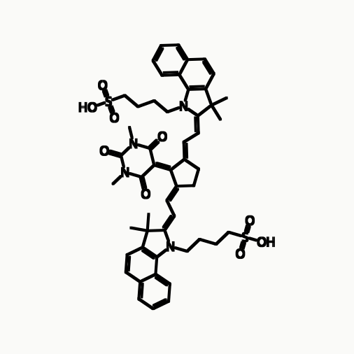 CN1C(=O)C(=C2C(=CC=C3N(CCCCS(=O)(=O)O)c4c(ccc5ccccc45)C3(C)C)CCC2=CC=C2N(CCCCS(=O)(=O)O)c3c(ccc4ccccc34)C2(C)C)C(=O)N(C)C1=O